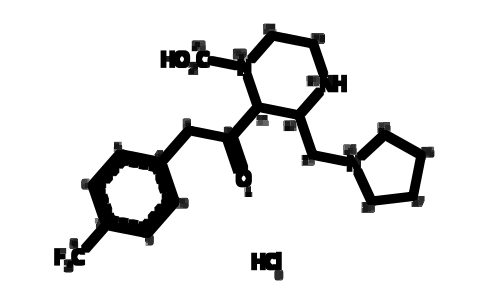 Cl.O=C(Cc1ccc(C(F)(F)F)cc1)C1C(CN2CCCC2)NCCN1C(=O)O